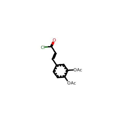 CC(=O)Oc1ccc(C=CC(=O)Cl)cc1OC(C)=O